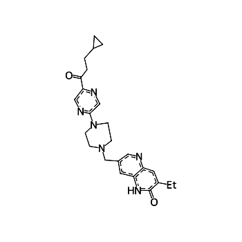 CCc1cc2ncc(CN3CCN(c4cnc(C(=O)CCC5CC5)cn4)CC3)cc2[nH]c1=O